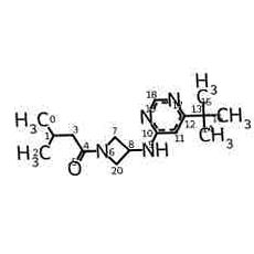 CC(C)CC(=O)N1CC(Nc2cc(C(C)(C)C)ncn2)C1